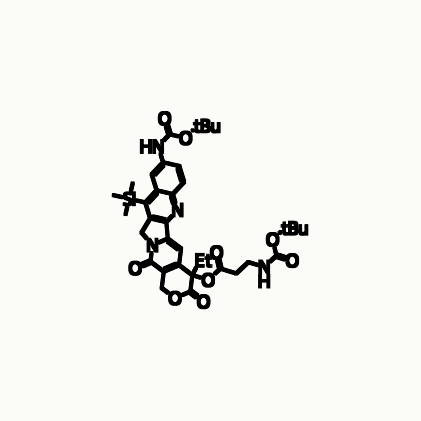 CCC1(OC(=O)CCNC(=O)OC(C)(C)C)C(=O)OCc2c1cc1n(c2=O)Cc2c-1nc1ccc(NC(=O)OC(C)(C)C)cc1c2[Si](C)(C)C